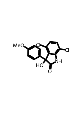 COc1ccc(C2(O)C(=O)Nc3c(Cl)ccc(Cl)c32)cc1